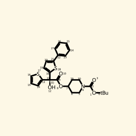 CC(C)(C)OC(=O)N1CCC(OC(=O)[C@](O)(c2cccs2)c2ccc(-c3ccccc3)s2)CC1